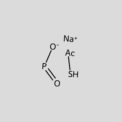 CC(=O)S.O=P[O-].[Na+]